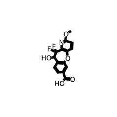 COc1ccc2c(n1)C(F)(F)C(O)c1ccc(C(=O)O)cc1O2